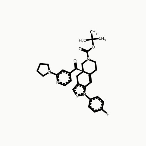 CC(C)(C)OC(=O)N1CCC2=Cc3c(cnn3-c3ccc(F)cc3)C[C@]2(C(=O)c2ccnc(N3CCCC3)c2)C1